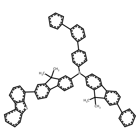 CC1(C)c2cc(-c3ccccc3)ccc2-c2ccc(N(c3ccc(-c4cccc(-c5ccccc5)c4)cc3)c3ccc4c(c3)C(C)(C)c3cc(-c5cccc6c5sc5ccccc56)ccc3-4)cc21